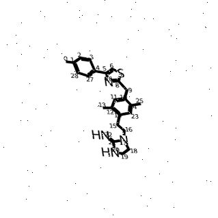 Cc1ccc(-c2csc(Cc3cc(C)c(CCN4CCNC4=N)cc3C)n2)cc1